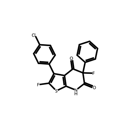 O=C1Nc2sc(F)c(-c3ccc(Cl)cc3)c2C(=O)C1(F)c1ccccc1